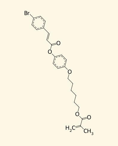 C=C(C)C(=O)OCCCCCCOc1ccc(OC(=O)C=Cc2ccc(Br)cc2)cc1